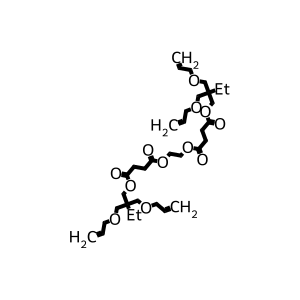 C=CCOCC(CC)(COCC=C)COC(=O)CCC(=O)OCCOC(=O)CCC(=O)OCC(CC)(COCC=C)COCC=C